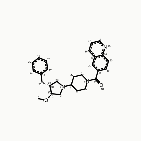 CO[C@@H]1CN(C2CCN(C(=O)c3ccc4ncccc4c3)CC2)C[C@H]1Cc1ccccc1